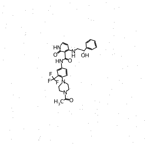 CC(=O)N1CCN(c2ccc(NC(=O)c3c(NC[C@@H](O)c4ccccc4)cc[nH]c3=O)cc2C(F)(F)F)CC1